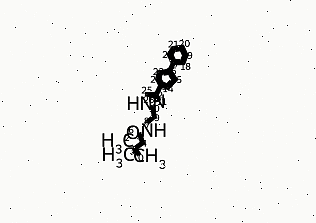 CC(C)(C)CC(=O)NCCc1nc(-c2ccc(-c3ccccc3)cc2)c[nH]1